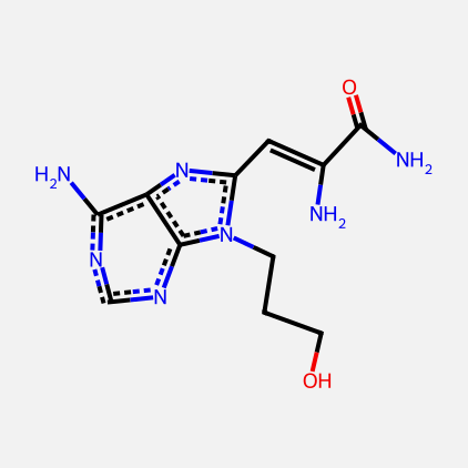 NC(=O)/C(N)=C/c1nc2c(N)ncnc2n1CCCO